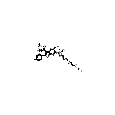 CNC(=O)c1c(-c2ccc(F)cc2)oc2nc(N(CCCCOCCOC)[SH](=O)=O)c(I)cc12